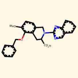 COc1ccc2c(c1OCc1ccccc1)CC(C(=O)O)N(c1ncc3ccccc3n1)C2